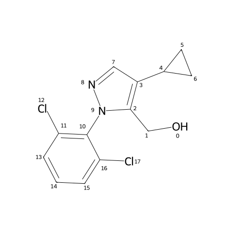 OCc1c(C2CC2)cnn1-c1c(Cl)cccc1Cl